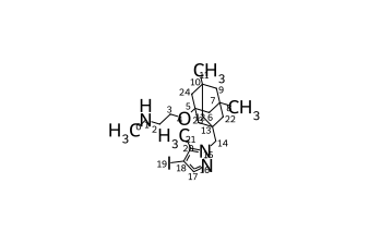 CNCCOC12CC3(C)CC(C)(CC(Cn4ncc(I)c4C)(C3)C1)C2